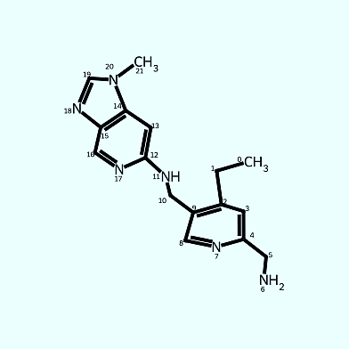 CCc1cc(CN)ncc1CNc1cc2c(cn1)ncn2C